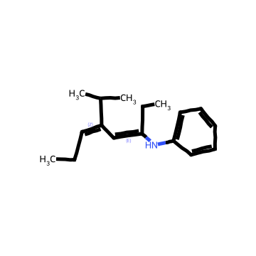 CC/C=C(\C=C(/CC)Nc1ccccc1)C(C)C